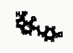 Nc1ccc2ncn(CCc3ccc(Cl)cc3)c(=O)n12